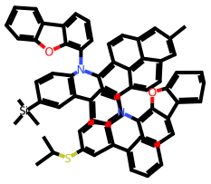 Cc1cc2ccc3c(N(c4ccc(SC(C)C)cc4-c4ccccc4)c4cccc5c4oc4ccccc45)cc(N(c4ccc([Si](C)(C)C)cc4-c4ccccc4)c4cccc5c4oc4ccccc45)c4ccc(c1)c2c34